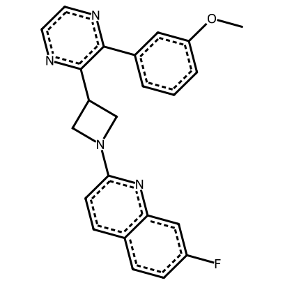 COc1cccc(-c2nccnc2C2CN(c3ccc4ccc(F)cc4n3)C2)c1